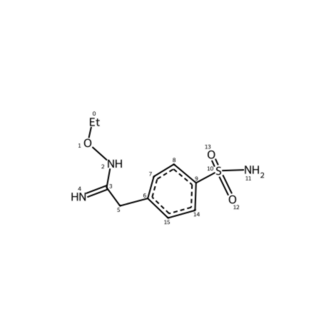 CCONC(=N)Cc1ccc(S(N)(=O)=O)cc1